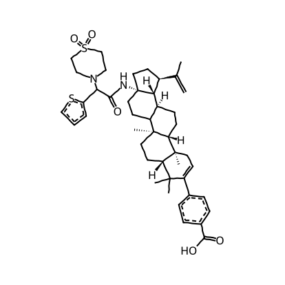 C=C(C)[C@@H]1CC[C@]2(NC(=O)C(c3cccs3)N3CCS(=O)(=O)CC3)CCC3[C@H](CC[C@@H]4[C@@]5(C)CC=C(c6ccc(C(=O)O)cc6)C(C)(C)[C@@H]5CC[C@@]34C)[C@@H]12